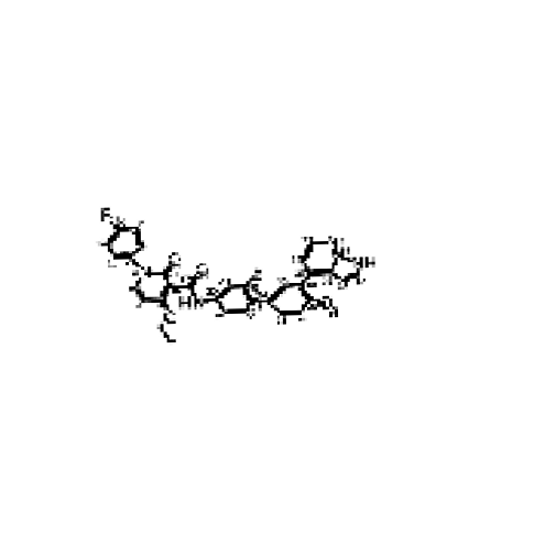 CCOc1ccn(-c2ccc(F)cc2)c(=O)c1C(=O)Nc1ccc(-c2ccc(OC)c(-c3ccnc4[nH]ccc34)c2)c(F)c1